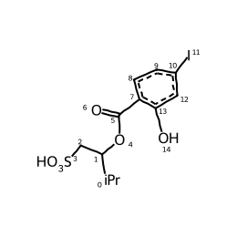 CC(C)C(CS(=O)(=O)O)OC(=O)c1ccc(I)cc1O